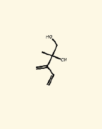 C=CC(=C)C(C)(C#N)CO